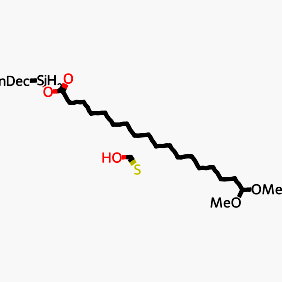 CCCCCCCCCC[SiH2]OC(=O)CCCCCCCCCCCCCCCCC(OC)OC.OC=S